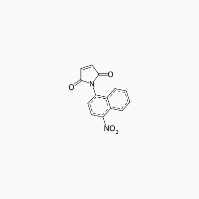 O=C1C=CC(=O)N1c1ccc([N+](=O)[O-])c2ccccc12